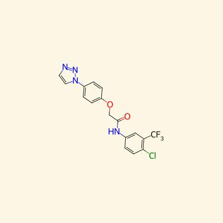 O=C(COc1ccc(-n2ccnn2)cc1)Nc1ccc(Cl)c(C(F)(F)F)c1